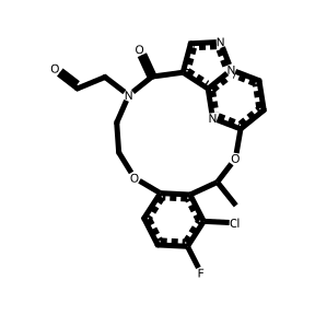 CC1Oc2ccn3ncc(c3n2)C(=O)N(CC=O)CCOc2ccc(F)c(Cl)c21